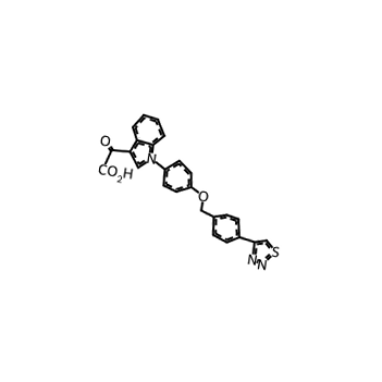 O=C(O)C(=O)c1cn(-c2ccc(OCc3ccc(-c4csnn4)cc3)cc2)c2ccccc12